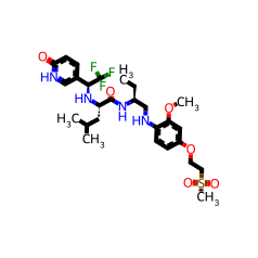 CC[C@@H](CNc1ccc(OCCS(C)(=O)=O)cc1OC)NC(=O)[C@H](CC(C)C)N[C@@H](c1ccc(=O)[nH]c1)C(F)(F)F